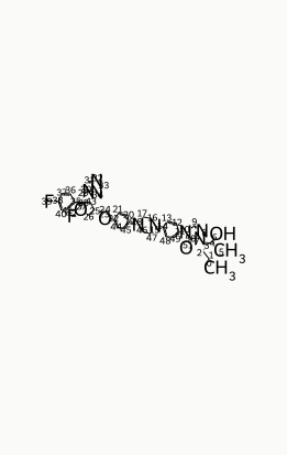 CCC[C@@H]([C@H](C)O)n1ncn(-c2ccc(N3CCN(c4ccc(OC[C@@H]5CO[C@@](Cn6cncn6)(c6ccc(F)cc6F)C5)cc4)CC3)cc2)c1=O